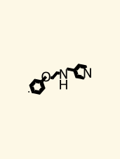 [c]1ccc(OCCNCc2ccncc2)cc1